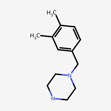 Cc1ccc(CN2CC[N]CC2)cc1C